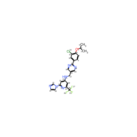 CC(C)Oc1ccc(-c2ncc(CNc3cc(-n4ccnc4)nc(C(F)(F)F)c3)cn2)cc1Cl